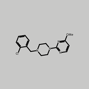 COc1ccnc(N2CCN(Cc3ccccc3Cl)CC2)n1